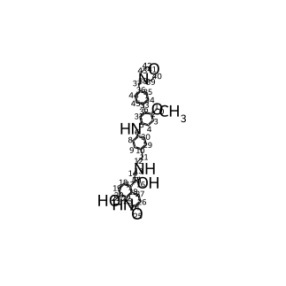 COc1ccc(Nc2ccc(CCNC[C@H](O)c3ccc(O)c4[nH]c(=O)ccc34)cc2)cc1-c1ccc(CN2CCOCC2)cc1